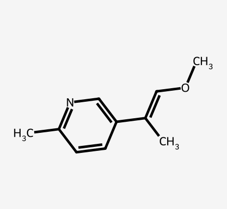 COC=C(C)c1ccc(C)nc1